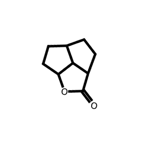 O=C1OC2CCC3CCC1C32